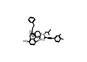 Cc1ccc(C#CC(=O)N(CC(C)C)[C@H]2CC[C@H]3[C@H]4Cc5c(O)ccc6c5[C@@]3(CCN4CCc3ccccc3)[C@H]2O6)cc1C